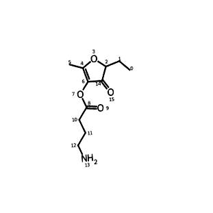 CCC1OC(C)=C(OC(=O)CCCN)C1=O